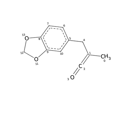 CC(=C=O)Cc1ccc2c(c1)OCO2